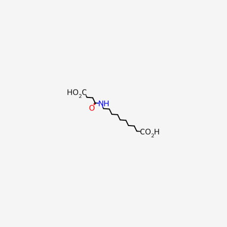 O=C(O)CCCCCCCCCNC(=O)CCC(=O)O